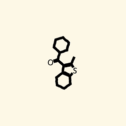 Cc1sc2c(c1C(=O)C1CCCCC1)CCCC2